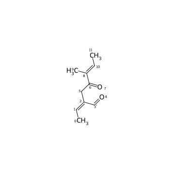 C/C=C(\[C]=O)CC(=O)/C(C)=C/C